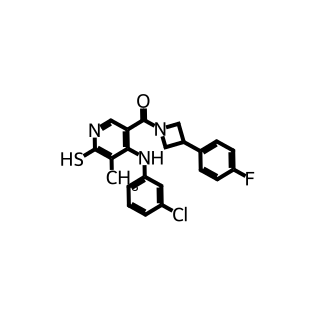 Cc1c(S)ncc(C(=O)N2CC(c3ccc(F)cc3)C2)c1Nc1cccc(Cl)c1